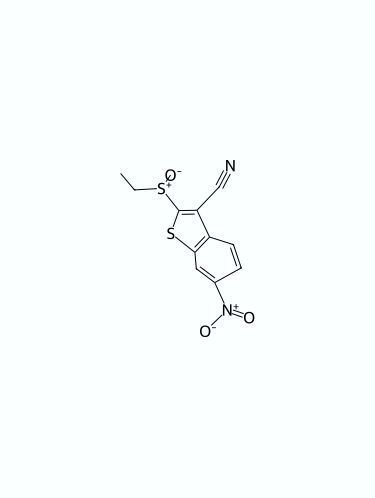 CC[S+]([O-])c1sc2cc([N+](=O)[O-])ccc2c1C#N